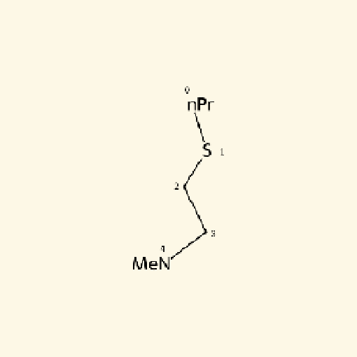 CCCSCCNC